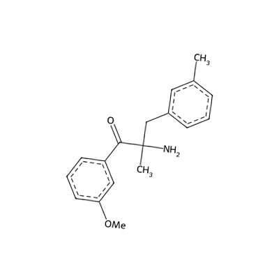 COc1cccc(C(=O)C(C)(N)Cc2cccc(C)c2)c1